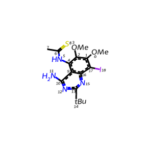 COc1c(OC)c(NC(C)=S)c2c(N)nc(C(C)(C)C)nc2c1I